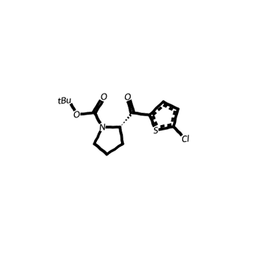 CC(C)(C)OC(=O)N1CCC[C@H]1C(=O)c1ccc(Cl)s1